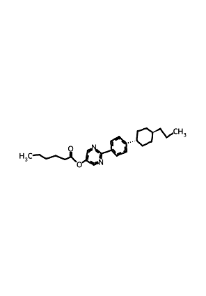 CCCCCC(=O)Oc1cnc(-c2ccc([C@H]3CC[C@H](CCC)CC3)cc2)nc1